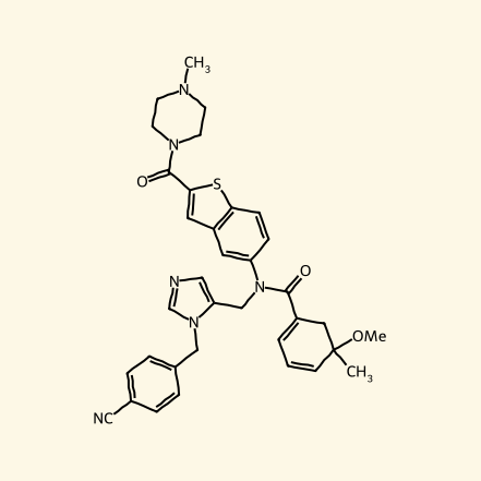 COC1(C)C=CC=C(C(=O)N(Cc2cncn2Cc2ccc(C#N)cc2)c2ccc3sc(C(=O)N4CCN(C)CC4)cc3c2)C1